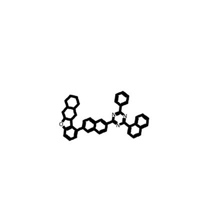 c1ccc(-c2nc(-c3ccc4cc(-c5cccc6c5C5CC7CCCCC7CC5O6)ccc4c3)nc(-c3cccc4ccccc34)n2)cc1